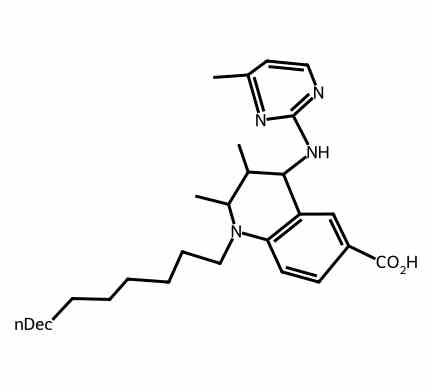 CCCCCCCCCCCCCCCCN1c2ccc(C(=O)O)cc2C(Nc2nccc(C)n2)C(C)C1C